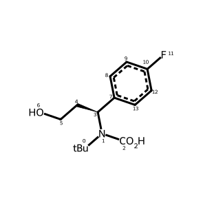 CC(C)(C)N(C(=O)O)[C@@H](CCO)c1ccc(F)cc1